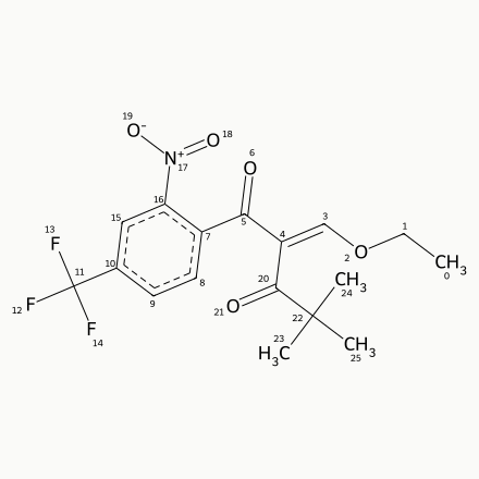 CCOC=C(C(=O)c1ccc(C(F)(F)F)cc1[N+](=O)[O-])C(=O)C(C)(C)C